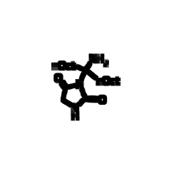 CCCCCCCCC(N)(CCCCCCCC)N1C(=O)CNC1=O